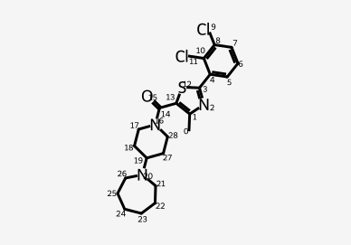 Cc1nc(-c2cccc(Cl)c2Cl)sc1C(=O)N1CCC(N2CCCCCC2)CC1